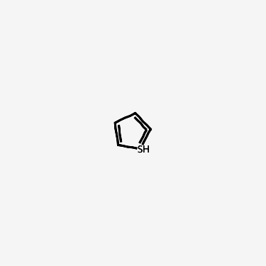 C1=CC=C[SH]=1